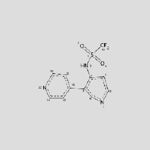 O=S(=O)(Nc1ccncc1-c1ccncc1)C(F)(F)F